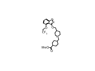 COC(=O)C1CCC(CN2CCC(COc3noc4cccc(OCC(F)(F)F)c34)CC2)CC1